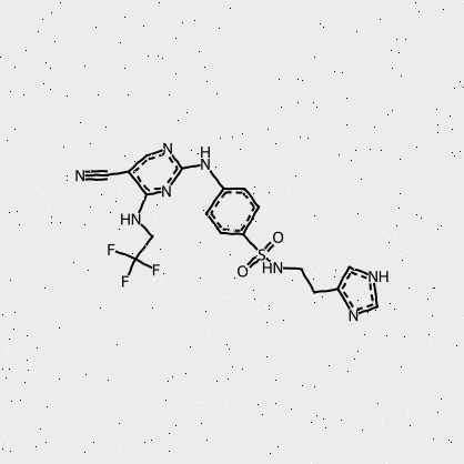 N#Cc1cnc(Nc2ccc(S(=O)(=O)NCCc3c[nH]cn3)cc2)nc1NCC(F)(F)F